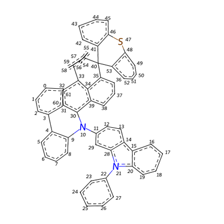 c1ccc(-c2ccccc2N(c2ccc3c4ccccc4n(-c4ccccc4)c3c2)c2ccc3c4c(cccc24)C2(c4ccccc4Sc4ccccc42)c2ccccc2-3)cc1